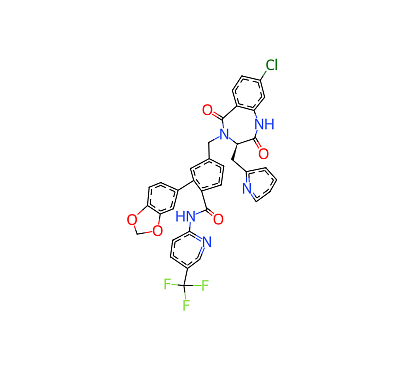 O=C(Nc1ccc(C(F)(F)F)cn1)c1ccc(CN2C(=O)c3ccc(Cl)cc3NC(=O)[C@H]2Cc2ccccn2)cc1-c1ccc2c(c1)OCO2